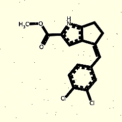 COC(=O)c1cc2c([nH]1)CC/C2=C/c1ccc(Cl)c(Cl)c1